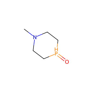 CN1CC[PH](=O)CC1